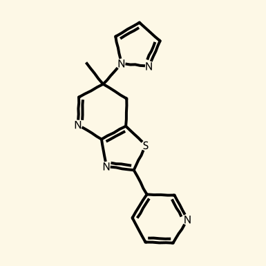 CC1(n2cccn2)C=Nc2nc(-c3cccnc3)sc2C1